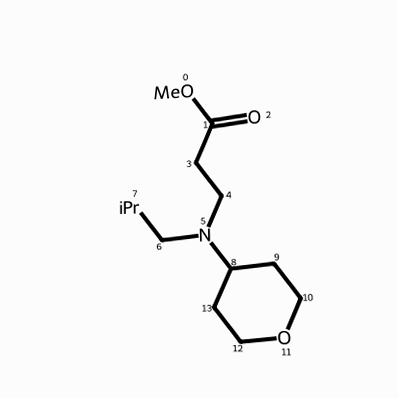 COC(=O)CCN(CC(C)C)C1CCOCC1